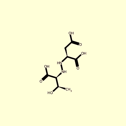 C[C@@H](O)[C@H](NN[C@@H](CC(=O)O)C(=O)O)C(=O)O